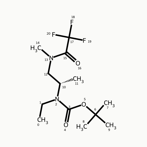 CCN(C(=O)OC(C)(C)C)[C@@H](C)CN(C)C(=O)C(F)(F)F